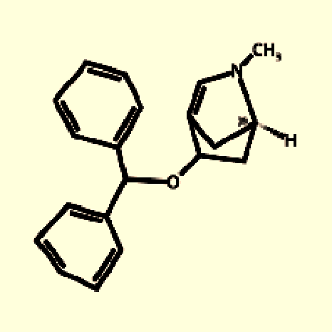 CN1C=C2C[C@@H]1CC2OC(c1ccccc1)c1ccccc1